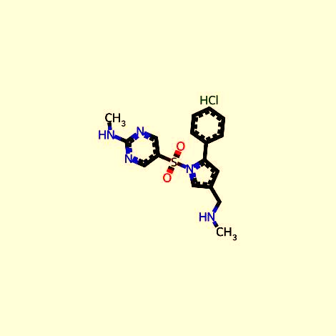 CNCc1cc(-c2ccccc2)n(S(=O)(=O)c2cnc(NC)nc2)c1.Cl